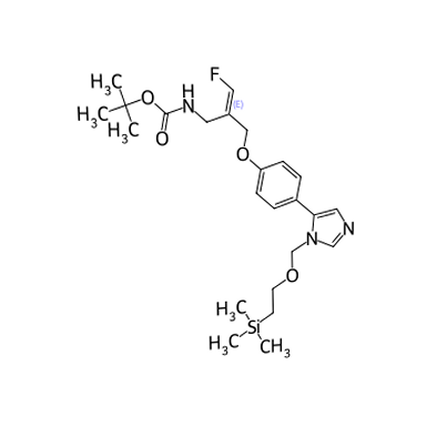 CC(C)(C)OC(=O)NC/C(=C\F)COc1ccc(-c2cncn2COCC[Si](C)(C)C)cc1